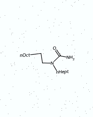 CCCCCCCCCCN(CCCCCCC)C(N)=O